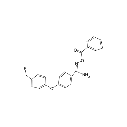 N/C(=N\OC(=O)c1ccccc1)c1ccc(Oc2ccc(CF)cc2)cc1